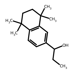 CCC(O)c1ccc2c(c1)C(C)(C)CCC2(C)C